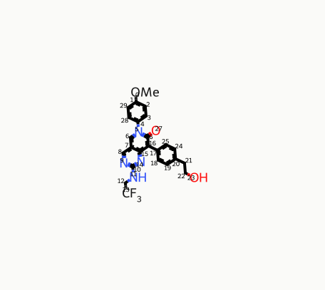 COc1ccc(-n2cc3cnc(NCC(F)(F)F)nc3c(-c3ccc(CCO)cc3)c2=O)cc1